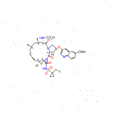 COc1ccc2ncc(O[C@@H]3C[C@H]4C(=O)N[C@]5(C(=O)NS(=O)(=O)C6(CF)CC6)C[C@H]5C=CCC[C@@H](C)C[C@@H](C)[C@H](NC(=O)O)C(=O)N4C3)cc2c1